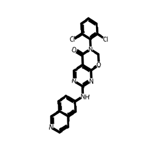 O=C1c2cnc(Nc3ccc4cnccc4c3)nc2OCN1c1c(Cl)cccc1Cl